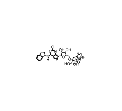 O=P(O)(O)[C@@](CO)(Cc1nn[nH]n1)OC[C@H]1O[C@H](n2ncc3c(N[C@@H]4CCc5ccccc54)nc(Cl)nc32)[C@H](O)[C@@H]1O